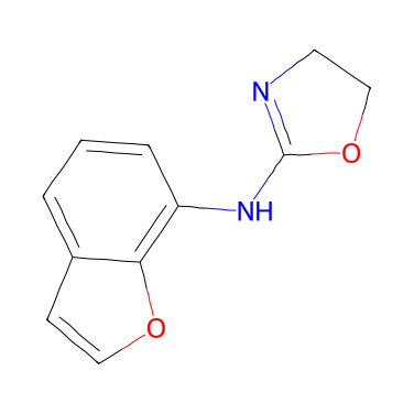 c1cc(NC2=NCCO2)c2occc2c1